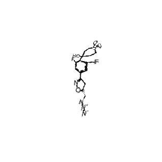 [N-]=[N+]=NC[C@H]1CC(c2cc(F)c(C3(O)CCS(=O)(=O)CC3)c(F)c2)=NO1